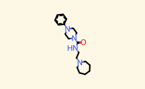 O=C(NCCN1CCCCCC1)N1CCN(c2ccccc2)CC1